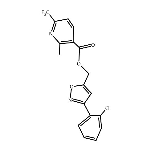 Cc1nc(C(F)(F)F)ccc1C(=O)OCc1cc(-c2ccccc2Cl)no1